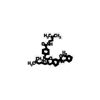 CN(C)CCCN(Cc1ccc(C(=O)Nc2ccccc2N)cc1)C(=O)Nc1ccc(C(=O)NCCN(C)C)cc1